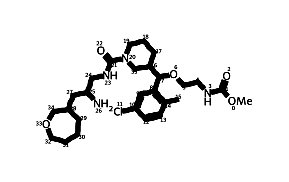 COC(=O)NCCOC(c1cc(Cl)ccc1C)C1CCCN(C(=O)NCC(N)CC2CCCCOC2)C1